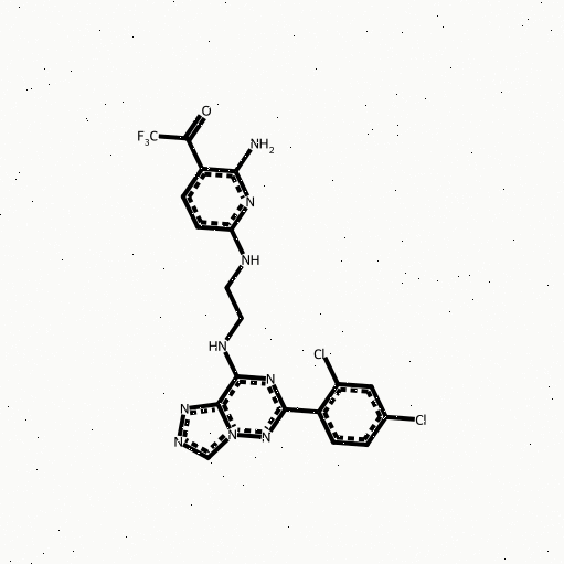 Nc1nc(NCCNc2nc(-c3ccc(Cl)cc3Cl)nn3cnnc23)ccc1C(=O)C(F)(F)F